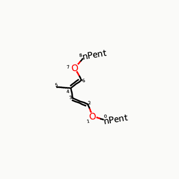 CCCCCOC=CC(C)=COCCCCC